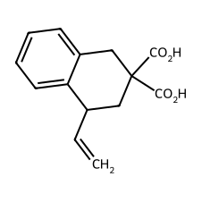 C=CC1CC(C(=O)O)(C(=O)O)Cc2ccccc21